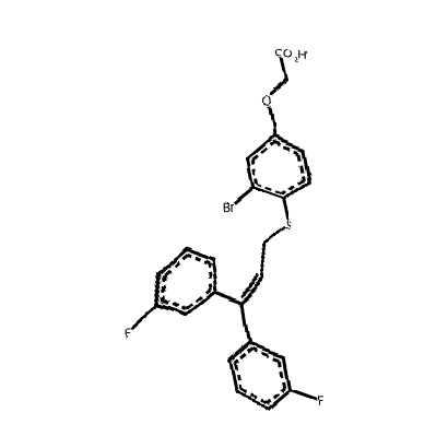 O=C(O)COc1ccc(SCC=C(c2cccc(F)c2)c2cccc(F)c2)c(Br)c1